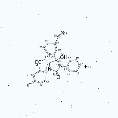 CC[C@H]1N(c2ccc(F)cc2)C(=O)N(c2ccc(F)cc2)C1(O)c1cccc(C#N)c1